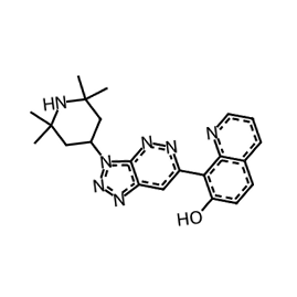 CC1(C)CC(n2nnc3cc(-c4c(O)ccc5cccnc45)nnc32)CC(C)(C)N1